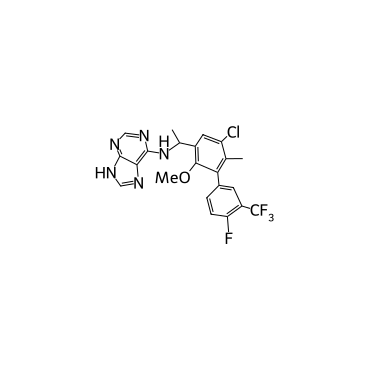 COc1c(C(C)Nc2ncnc3[nH]cnc23)cc(Cl)c(C)c1-c1ccc(F)c(C(F)(F)F)c1